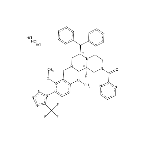 COc1ccc(-n2nnnc2C(F)(F)F)c(OC)c1CN1C[C@@H]2CN(C(=O)c3ncccn3)CCN2[C@H](C(c2ccccc2)c2ccccc2)C1.Cl.Cl.Cl